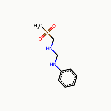 CS(=O)(=O)CNCNc1ccccc1